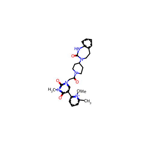 CO[n+]1c(C)cccc1-c1cn(CC(=O)N2CCC(N3CCc4ccccc4NC3=O)CC2)c(=O)n(C)c1=O